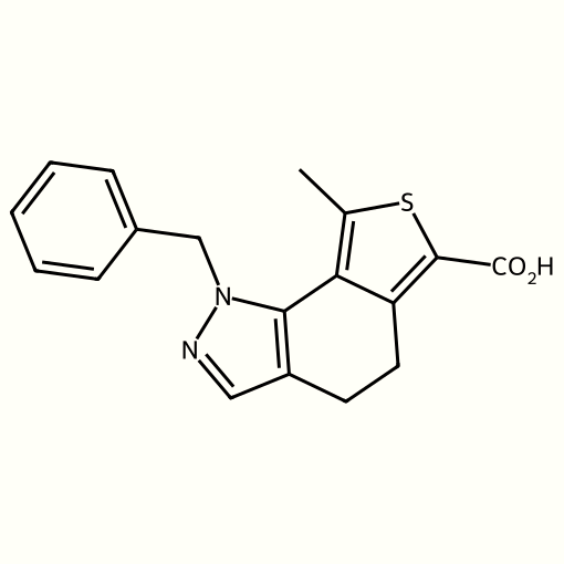 Cc1sc(C(=O)O)c2c1-c1c(cnn1Cc1ccccc1)CC2